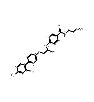 CC(C)C(COc1ccc(-c2ccc(C(F)(F)F)cc2Cl)nc1)Nc1ccc(C(=O)NCCC(=O)O)cn1